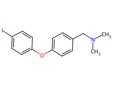 CN(C)Cc1ccc(Oc2ccc(I)cc2)cc1